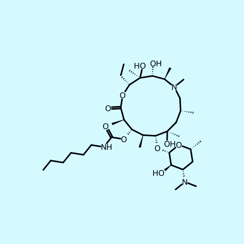 CCCCCCNC(=O)O[C@H]1[C@H](C)[C@@H](O[C@@H]2O[C@H](C)C[C@H](N(C)C)[C@H]2O)[C@](C)(O)C[C@@H](C)CN(C)[C@H](C)[C@@H](O)[C@](C)(O)[C@@H](CC)OC(=O)[C@@H]1C